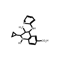 CC(=O)N1c2ccc(C(=O)O)cc2C(Nc2ccccn2)C(C)C1C1CC1